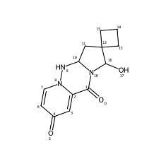 O=C1c2cc(=O)ccn2NC2CC3(CCC3)C(O)N12